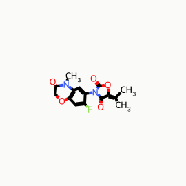 CC(C)=C1OC(=O)N(c2cc3c(cc2F)OCC(=O)N3C)C1=O